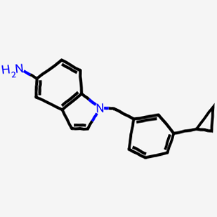 Nc1ccc2c(ccn2Cc2cccc(C3CC3)c2)c1